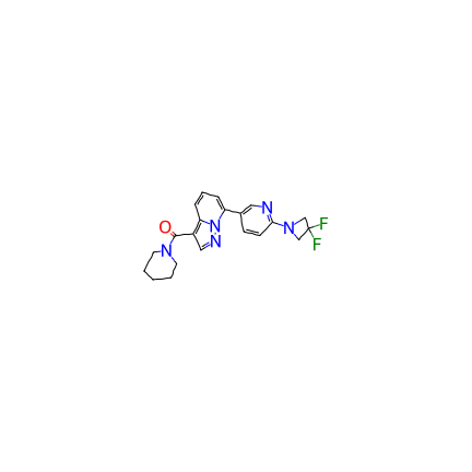 O=C(c1cnn2c(-c3ccc(N4CC(F)(F)C4)nc3)cccc12)N1CCCCC1